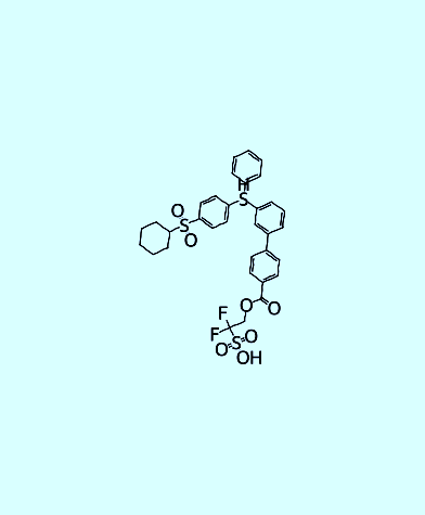 O=C(OCC(F)(F)S(=O)(=O)O)c1ccc(-c2cccc([SH](c3ccccc3)c3ccc(S(=O)(=O)C4CCCCC4)cc3)c2)cc1